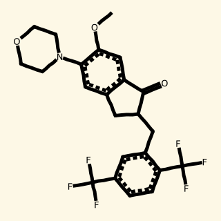 COc1cc2c(cc1N1CCOCC1)CC(Cc1cc(C(F)(F)F)ccc1C(F)(F)F)C2=O